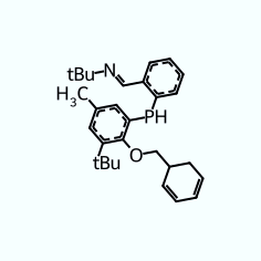 Cc1cc(Pc2ccccc2/C=N/C(C)(C)C)c(OCC2C=CC=CC2)c(C(C)(C)C)c1